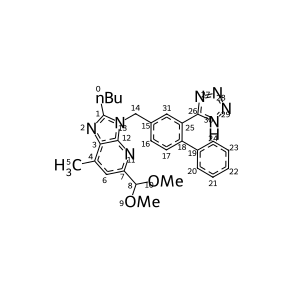 CCCCc1nc2c(C)cc(C(OC)OC)nc2n1Cc1ccc(-c2ccccc2)c(-c2nnn[nH]2)c1